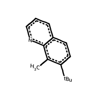 Cc1c(C(C)(C)C)ccc2cccnc12